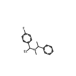 CCC(c1ccc(F)cc1)N(C)C(C)c1ccccc1